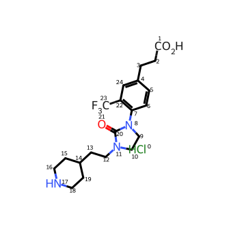 Cl.O=C(O)CCc1ccc(N2CCN(CCC3CCNCC3)C2=O)c(C(F)(F)F)c1